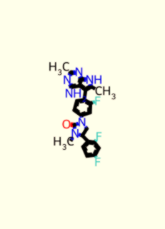 Cc1nc(N)c2c(-c3ccc(N4CC(c5ccc(F)cc5F)N(C)C4=O)cc3F)c(C)[nH]c2n1